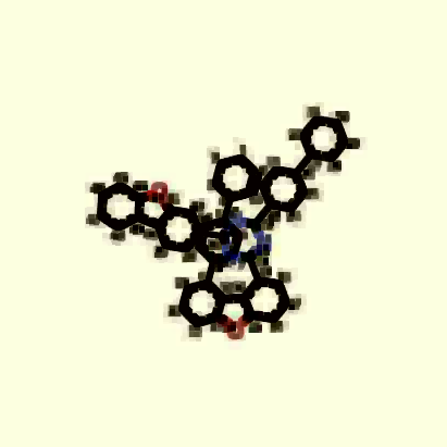 c1cccc(-c2ccc(-c3cccc4oc5cccc(-c6nc(-c7ccc(-c8ccccc8)cc7)nc(-c7ccc8c(c7)oc7ccccc78)n6)c5c34)cc2)c#1